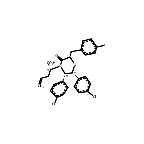 C=CC[C@H](C(=O)O)N1C(=O)[C@@H](Cc2ccc(F)cc2)O[C@H](c2ccc(Cl)cc2)[C@@H]1c1ccc(Cl)cc1